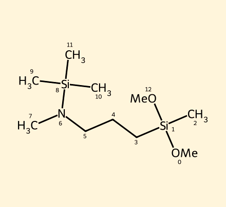 CO[Si](C)(CCCN(C)[Si](C)(C)C)OC